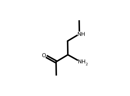 CNCC(N)C(C)=O